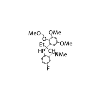 CCC(C)(Pc1ccc(F)cc1CNC)c1cc(OC)cc(OC)c1OCOC